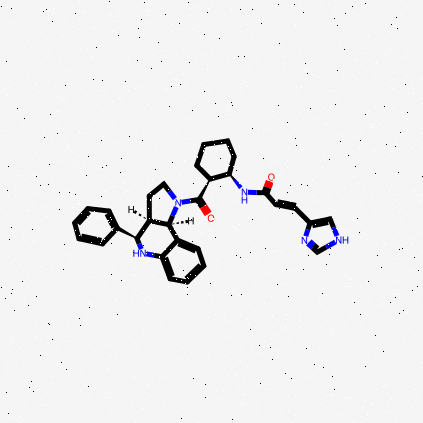 O=C(/C=C/c1c[nH]cn1)N[C@@H]1CCCC[C@@H]1C(=O)N1CC[C@@H]2[C@H](c3ccccc3)Nc3ccccc3[C@@H]21